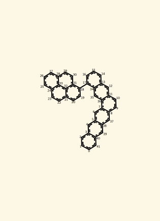 c1ccc2cc3cc4c(ccc5cc6cccc(-c7ccc8ccc9cccc%10ccc7c8c9%10)c6cc54)cc3cc2c1